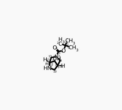 CC(C)(C)OC(=O)N1C[C@@H]2CN[C@H](C1)C2O